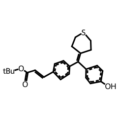 CC(C)(C)OC(=O)/C=C/c1ccc(C(=C2CCSCC2)c2ccc(O)cc2)cc1